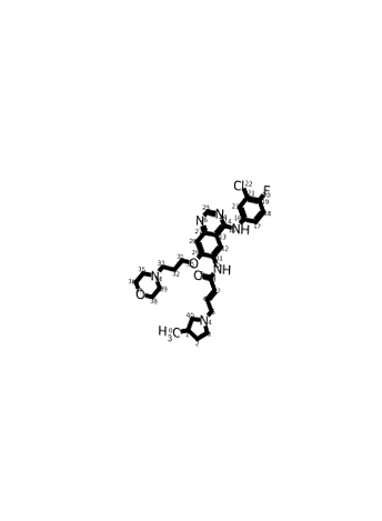 CC1CCN(C/C=C/C(=O)Nc2cc3c(Nc4ccc(F)c(Cl)c4)ncnc3cc2OCCCN2CCOCC2)C1